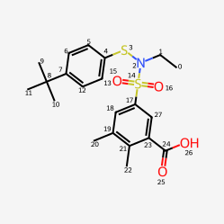 CCN(Sc1ccc(C(C)(C)C)cc1)S(=O)(=O)c1cc(C)c(C)c(C(=O)O)c1